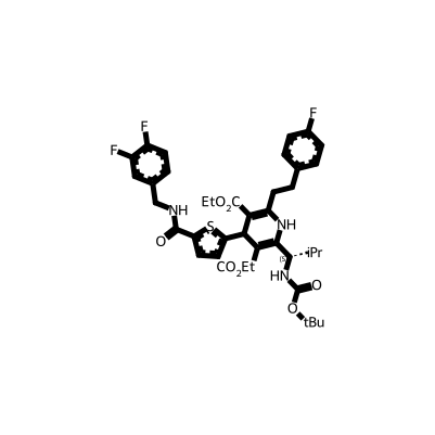 CCOC(=O)C1=C(CCc2ccc(F)cc2)NC([C@@H](NC(=O)OC(C)(C)C)C(C)C)=C(C(=O)OCC)C1c1ccc(C(=O)NCc2ccc(F)c(F)c2)s1